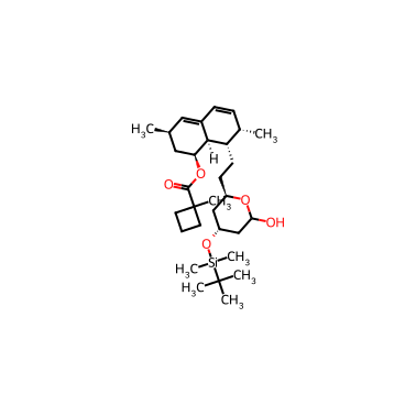 C[C@H]1C=C2C=C[C@H](C)[C@H](CC[C@@H]3C[C@@H](O[Si](C)(C)C(C)(C)C)CC(O)O3)[C@H]2[C@@H](OC(=O)C2(C)CCC2)C1